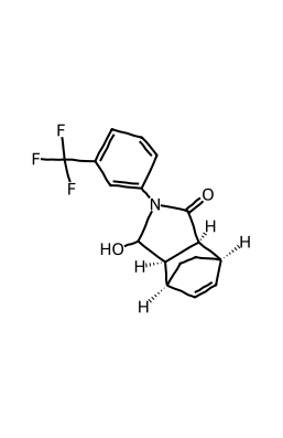 O=C1[C@@H]2[C@H](C(O)N1c1cccc(C(F)(F)F)c1)[C@@H]1C=C[C@H]2CC1